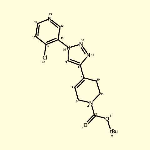 CC(C)(C)OC(=O)N1CC=C(c2cn(-c3cnccc3Cl)nn2)CC1